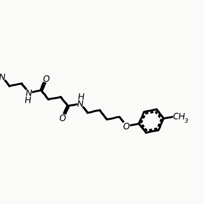 Cc1ccc(OCCCCNC(=O)CCC(=O)NCCN)cc1